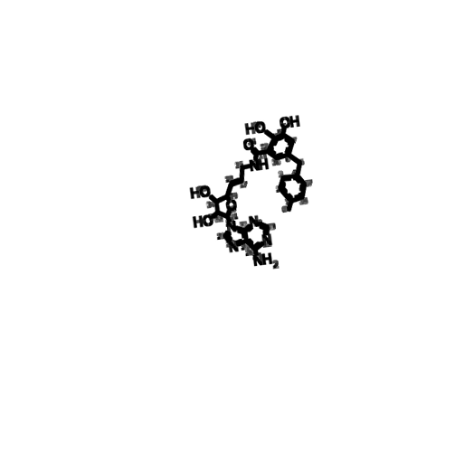 Cc1ccc(Cc2cc(O)c(O)c(C(=O)NCC=CC3OC(n4cnc5c(N)ncnc54)C(O)C3O)c2)cc1